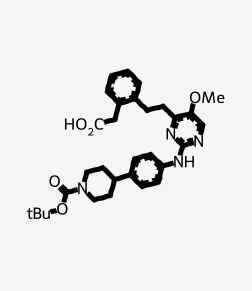 COc1cnc(Nc2ccc(C3CCN(C(=O)OC(C)(C)C)CC3)cc2)nc1CCc1ccccc1CC(=O)O